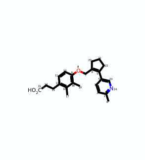 Cc1ccc(C2=C(COc3ccc(CCC(=O)O)c(C)c3C)CCC2)cn1